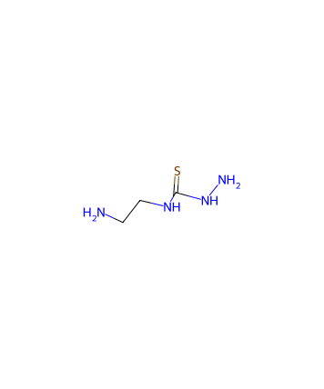 NCCNC(=S)NN